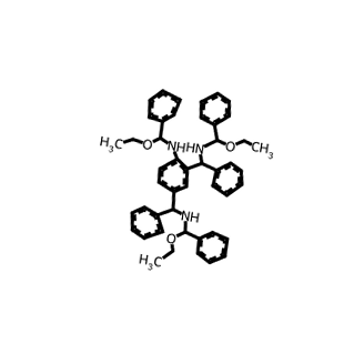 CCOC(Nc1ccc(C(NC(OCC)c2ccccc2)c2ccccc2)cc1C(NC(OCC)c1ccccc1)c1ccccc1)c1ccccc1